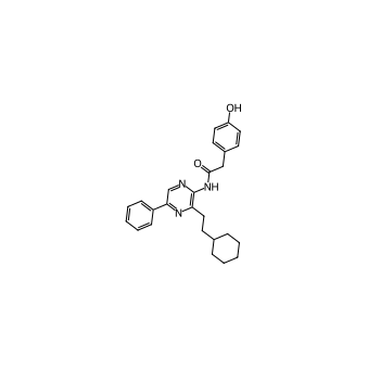 O=C(Cc1ccc(O)cc1)Nc1ncc(-c2ccccc2)nc1CCC1CCCCC1